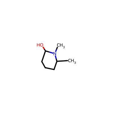 CC1CCCC(O)N1C